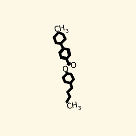 CCCCCC1CCC(OC(=O)c2ccc(C3CCC(C)CC3)cc2)CC1